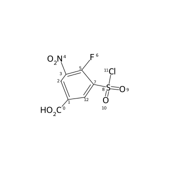 O=C(O)c1cc([N+](=O)[O-])c(F)c(S(=O)(=O)Cl)c1